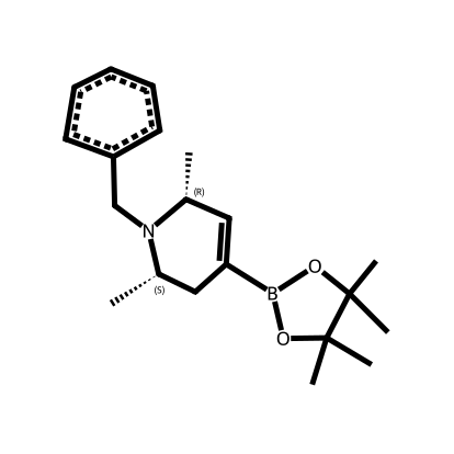 C[C@@H]1C=C(B2OC(C)(C)C(C)(C)O2)C[C@H](C)N1Cc1ccccc1